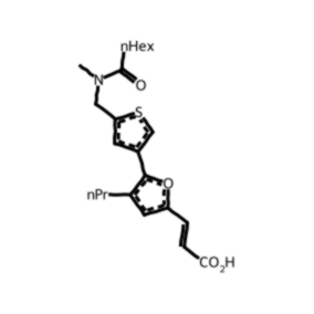 CCCCCCC(=O)N(C)Cc1cc(-c2oc(C=CC(=O)O)cc2CCC)cs1